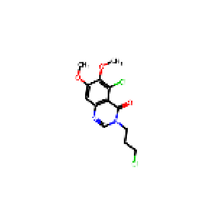 COc1cc2ncn(CCCCl)c(=O)c2c(Cl)c1OC